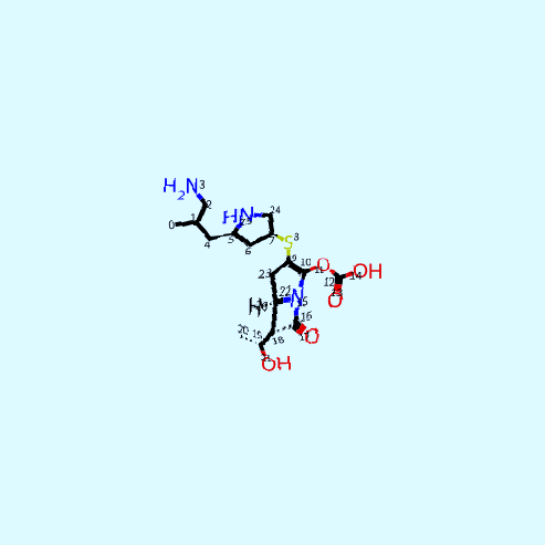 CC(CN)C[C@@H]1C[C@H](SC2=C(OC(=O)O)N3C(=O)[C@H]([C@@H](C)O)[C@H]3C2)CN1